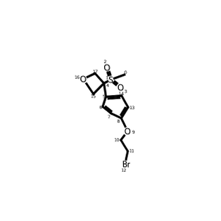 CS(=O)(=O)C1(c2ccc(OCCBr)cc2)COC1